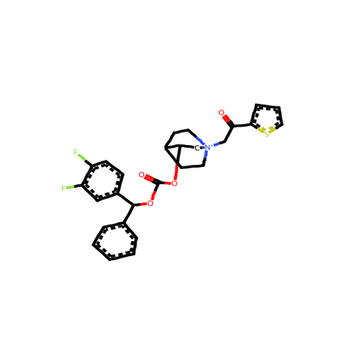 O=C(OC(c1ccccc1)c1ccc(F)c(F)c1)OC1C[N+]2(CC(=O)c3cccs3)CCC1CC2